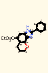 CCOC(=O)c1cc2[nH]c(-c3ccccc3)nc2c2c1CCCO2